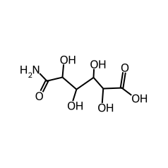 NC(=O)C(O)C(O)C(O)C(O)C(=O)O